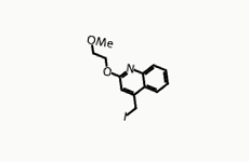 COCCOc1cc(CI)c2ccccc2n1